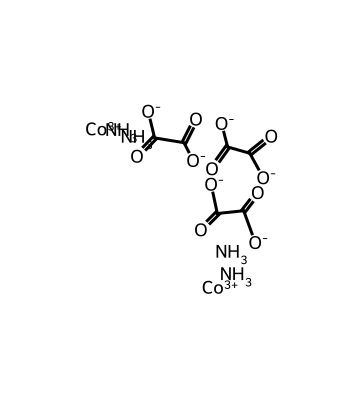 N.N.N.N.O=C([O-])C(=O)[O-].O=C([O-])C(=O)[O-].O=C([O-])C(=O)[O-].[Co+3].[Co+3]